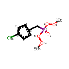 CCOOP(=O)(Cc1ccc(Cl)cc1)OOCC